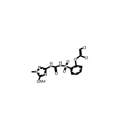 COc1nc(NC(=O)NS(=O)(=O)c2ccccc2OC(Cl)=CCl)nn1C